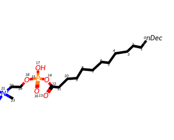 CCCCCCCCCCCCCCCCCCCCCC(=O)OP(=O)(O)OCC[N+](C)(C)C